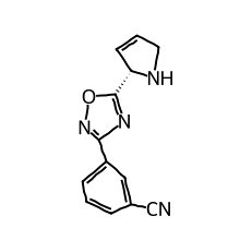 N#Cc1cccc(-c2noc([C@@H]3C=CCN3)n2)c1